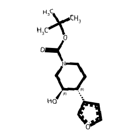 CC(C)(C)OC(=O)N1CC[C@H](c2ccoc2)[C@@H](O)C1